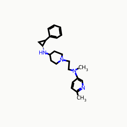 Cc1ccc(N(C)CCN2CCC(N[C@@H]3CC3c3ccccc3)CC2)cn1